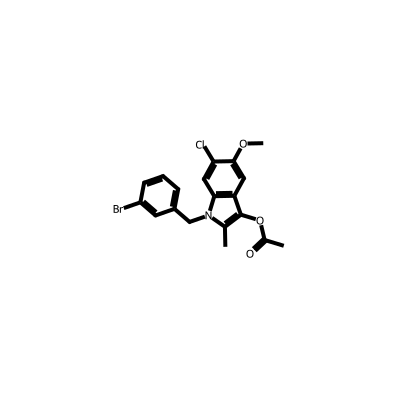 COc1cc2c(OC(C)=O)c(C)n(Cc3cccc(Br)c3)c2cc1Cl